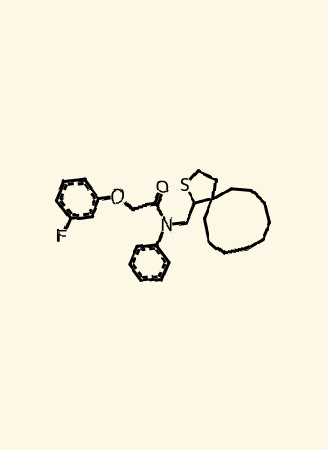 O=C(COc1cccc(F)c1)N(CC1SCCC12CCCCCCCCC2)c1ccccc1